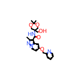 Cc1nn2ccc(OCc3ccccn3)cc2c1C(=O)NC1(CO)COC(C)(C)OC1